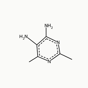 Cc1nc(C)c(N)c(N)n1